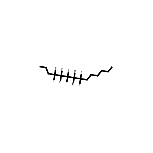 [CH2]CCCC[CH]C(F)(F)C(F)(F)C(F)(F)C(F)(F)C(F)(F)CCC